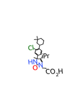 CC(C)C1=CN(CCC(=O)O)C(=O)NC1(C)c1ccc(C2CCCC(C)(C)C2)c(Cl)c1